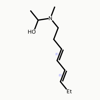 CC/C=C/C=C/CCN(C)C(C)O